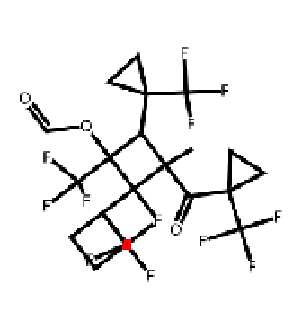 CC1(C(=O)C2(C(F)(F)F)CC2)C(C2(C(F)(F)F)CC2)C(O[C]=O)(C(F)(F)F)C1(C)C1(C(F)(F)F)CCC1